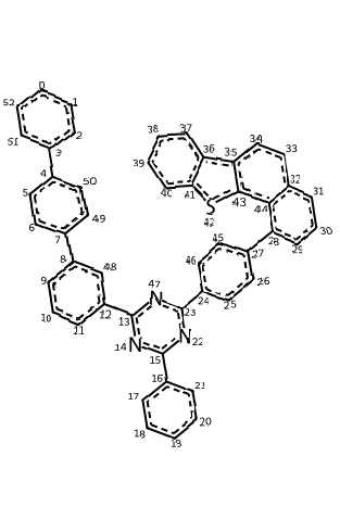 c1ccc(-c2ccc(-c3cccc(-c4nc(-c5ccccc5)nc(-c5ccc(-c6cccc7ccc8c9ccccc9sc8c67)cc5)n4)c3)cc2)cc1